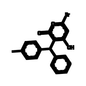 Cc1ccc(C(c2ccccc2)c2c(O)cc(Br)oc2=O)cc1